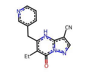 CCc1c(Cc2cccnc2)[nH]c2c(C#N)cnn2c1=O